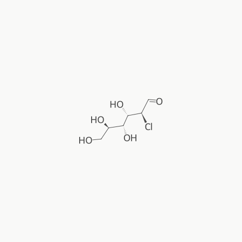 O=C[C@@H](Cl)[C@@H](O)[C@H](O)[C@H](O)CO